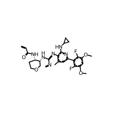 C=CC(=O)N[C@H]1CCOC[C@H]1N/C(N=C)=N/c1c(C)cc(-c2c(F)c(OC)cc(OC)c2F)nc1NC1CC1